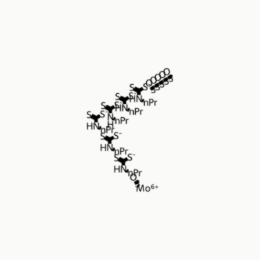 CCCNC(=S)[S-].CCCNC(=S)[S-].CCCNC(=S)[S-].CCCNC(=S)[S-].CCCNC(=S)[S-].CCCNC(=S)[S-].O=S.O=S.O=S.O=S.O=S.O=S.[Mo+6]